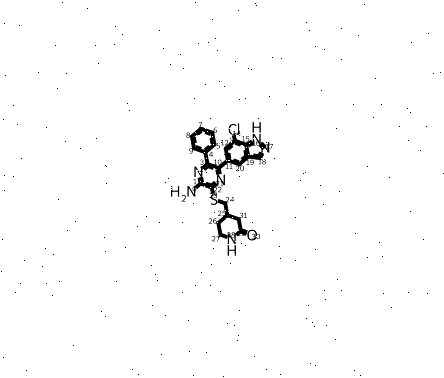 Nc1nc(-c2ccccc2)c(-c2cc(Cl)c3[nH]ncc3c2)nc1SCC1CCNC(=O)C1